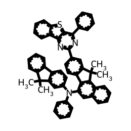 CC1(C)c2ccccc2-c2ccc(N(c3ccccc3)c3cc4ccccc4c4c3-c3ccc(-c5nc(-c6ccccc6)c6sc7ccccc7c6n5)cc3C4(C)C)cc21